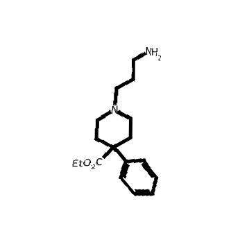 CCOC(=O)C1(c2ccccc2)CCN(CCCN)CC1